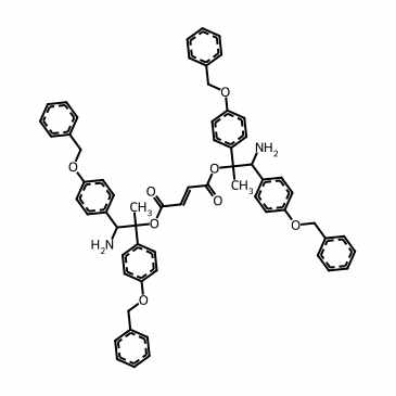 CC(OC(=O)/C=C/C(=O)OC(C)(c1ccc(OCc2ccccc2)cc1)C(N)c1ccc(OCc2ccccc2)cc1)(c1ccc(OCc2ccccc2)cc1)C(N)c1ccc(OCc2ccccc2)cc1